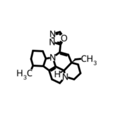 CC[C@@]12C=C(c3nnco3)N3C4=C(CCN(CCC1)[C@H]42)C1C(C)CCCC13